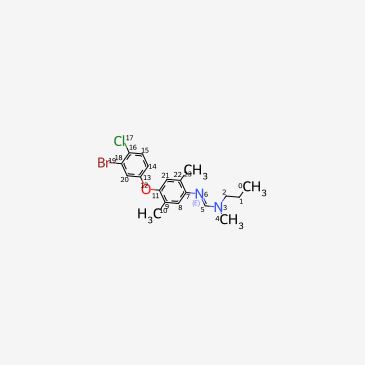 CCCN(C)/C=N/c1cc(C)c(Oc2ccc(Cl)c(Br)c2)cc1C